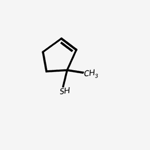 CC1(S)C=CCC1